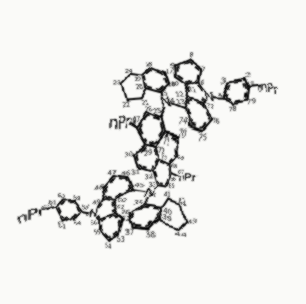 CCCc1ccc(-n2c3ccccc3c3c(N(c4cccc5c4CCCC5)c4cc(CCC)c5ccc6c(N(c7cccc8c7CCCC8)c7cccc8c7c7ccccc7n8-c7ccc(CCC)cc7)cc(CCC)c7ccc4c5c76)cccc32)cc1